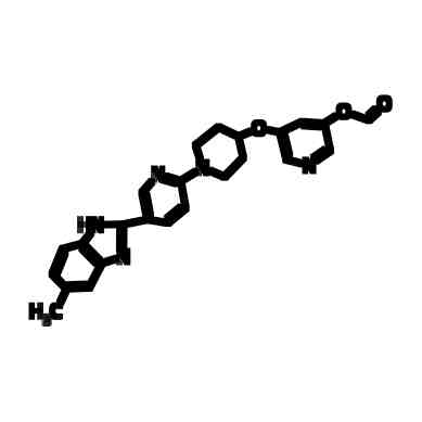 Cc1ccc2[nH]c(-c3ccc(N4CCC(Oc5cncc(OC=O)c5)CC4)nc3)nc2c1